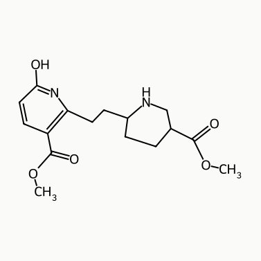 COC(=O)c1ccc(O)nc1CCC1CCC(C(=O)OC)CN1